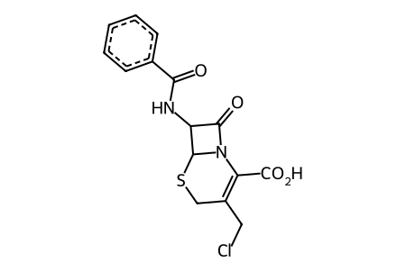 O=C(O)C1=C(CCl)CSC2C(NC(=O)c3ccccc3)C(=O)N12